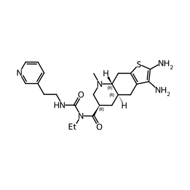 CCN(C(=O)NCCc1cccnc1)C(=O)[C@@H]1C[C@@H]2Cc3c(sc(N)c3N)C[C@H]2N(C)C1